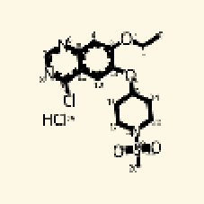 CCOc1cc2ncnc(Cl)c2cc1OC1CCN(S(C)(=O)=O)CC1.Cl